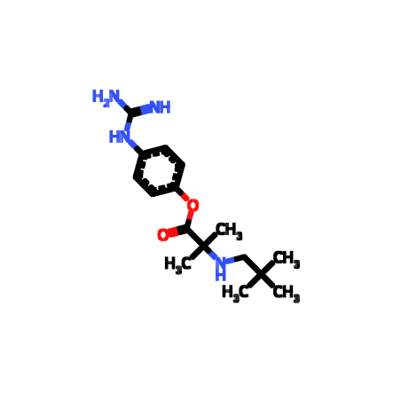 CC(C)(C)CNC(C)(C)C(=O)Oc1ccc(NC(=N)N)cc1